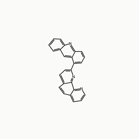 c1ccc2nc3cccc(-c4ccc5ccc6cccnc6c5n4)c3cc2c1